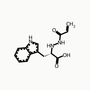 C=CC(=O)NN[C@@H](Cc1c[nH]c2ccccc12)C(=O)O